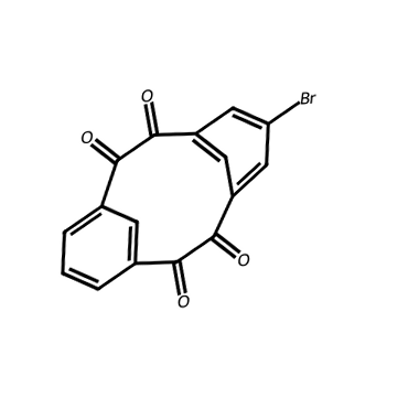 O=c1c(=O)c2cc(Br)cc(c2)c(=O)c(=O)c2cccc1c2